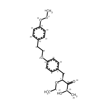 CCO[C@@H](Cc1ccc(OCCc2ccc(OSC)cc2)cc1)C(=O)N(C)O